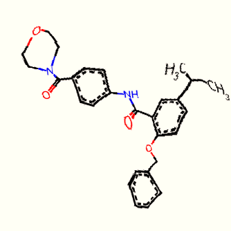 CC(C)c1ccc(OCc2ccccc2)c(C(=O)Nc2ccc(C(=O)N3CCOCC3)cc2)c1